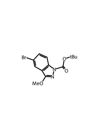 COc1nn(C(=O)OC(C)(C)C)c2ccc(Br)cc12